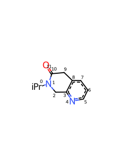 CC(C)N1Cc2ncccc2CC1=O